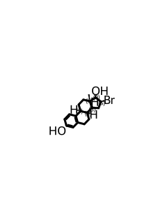 C[C@]12CC[C@@H]3c4ccc(O)cc4CC[C@H]3[C@@H]1C[C@H](Br)[C@@H]2O